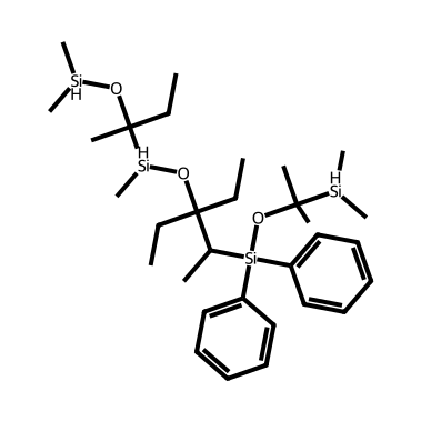 CCC(CC)(O[SiH](C)C(C)(CC)O[SiH](C)C)C(C)[Si](OC(C)(C)[SiH](C)C)(c1ccccc1)c1ccccc1